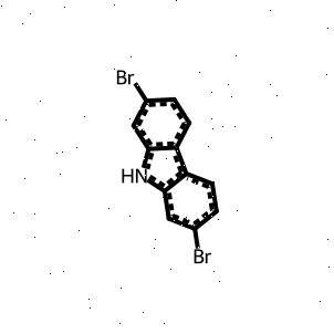 Brc1ccc2c(c1)[nH]c1cc(Br)ccc12